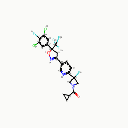 O=C(C1CC1)N1CC(F)(c2ccc(C3=NOC(c4cc(Cl)c(F)c(Cl)c4)(C(F)(F)F)C3)cn2)C1